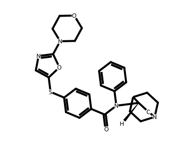 O=C(c1ccc(Sc2cnc(N3CCOCC3)o2)cc1)N(c1ccccc1)[C@H]1CN2CCC1CC2